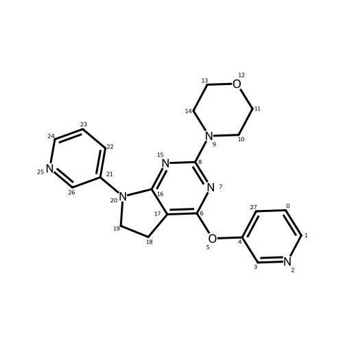 c1cncc(Oc2nc(N3CCOCC3)nc3c2CCN3c2cccnc2)c1